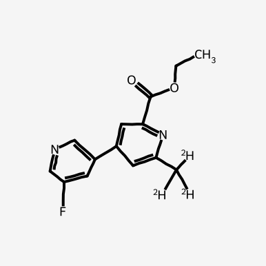 [2H]C([2H])([2H])c1cc(-c2cncc(F)c2)cc(C(=O)OCC)n1